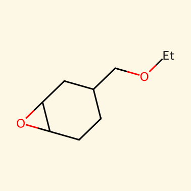 [CH2]COCC1CCC2OC2C1